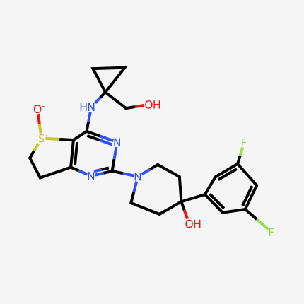 [O-][S+]1CCc2nc(N3CCC(O)(c4cc(F)cc(F)c4)CC3)nc(NC3(CO)CC3)c21